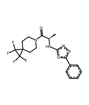 C[C@@H](Nc1nnc(-c2ccccc2)o1)C(=O)N1CCC2(CC1)C(F)(F)C2(F)F